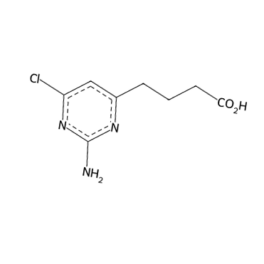 Nc1nc(Cl)cc(CCCC(=O)O)n1